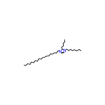 CCCCCCCCCCCCCCCCCCCN1C=CN(CCCCCCCC)C1CCCCC